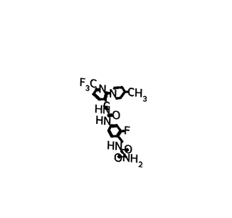 CC1CCN(c2nc(C(F)(F)F)ccc2CNC(=O)Nc2ccc(CNS(N)(=O)=O)c(F)c2)CC1